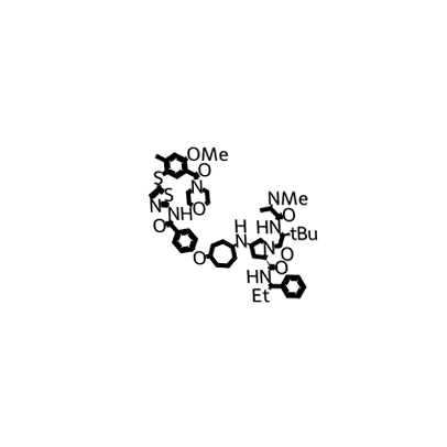 CC[C@@H](NC(=O)[C@@H]1C[C@H](N[C@H]2CCCC(Oc3ccc(C(=O)Nc4ncc(Sc5cc(C(=O)N6CCOCC6)c(OC)cc5C)s4)cc3)CC2)CN1C(=O)[C@@H](NC(=O)[C@H](C)NC)C(C)(C)C)c1ccccc1